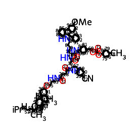 COc1ccc(C(NCCCC[C@H](NC(=O)C[C@H](Cc2ccc(C#N)cc2)NC(=O)CCC(=O)NCCCO[C@H]2CC[C@@]3(C)C(=CC[C@H]4[C@@H]5CC[C@H]([C@H](C)CCCC(C)C)[C@@]5(C)CC[C@@H]43)C2)C(=O)Nc2ccc(COC(=O)Oc3ccc(C)cc3)cc2)(c2ccccc2)c2ccccc2)cc1